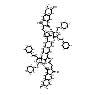 O=C1C(=Cc2nc3c(s2)C2=CC4C=C5OC(C(=O)OCc6ccccc6)(C(=O)OCc6ccccc6)c6nc(/C=C7\C(=O)c8cc9c(cc8C7=O)CC(F)C(F)=C9)sc6C5=CC4C=C2OC3(C(=O)OCc2ccccc2)C(=O)OCc2ccccc2)C(=O)c2cc3cc(F)c(F)cc3cc21